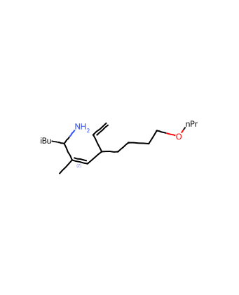 C=CC(/C=C(/C)C(N)C(C)CC)CCCCOCCC